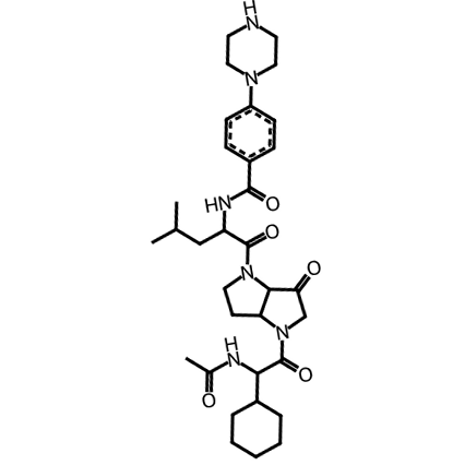 CC(=O)NC(C(=O)N1CC(=O)C2C1CCN2C(=O)C(CC(C)C)NC(=O)c1ccc(N2CCNCC2)cc1)C1CCCCC1